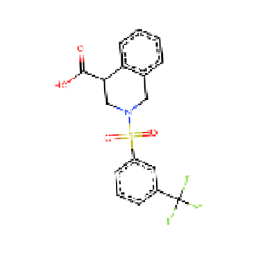 O=C(O)C1CN(S(=O)(=O)c2cccc(C(F)(F)F)c2)Cc2ccccc21